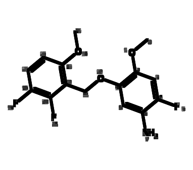 COc1cc(F)c(N)cc1OCc1c(OC)ccc(F)c1F